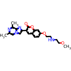 COCCNCCOc1ccc2cc(-c3cn4cc(C)nc(C)c4n3)c(=O)oc2c1